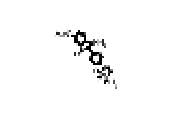 CCn1c(-c2ccc(N3CCN(C)S3(=O)=O)cc2)c(N)c2ccc(OC)cc21